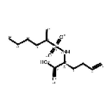 C=CCC[C@H](NS(=O)(=O)C(C)CCCC)C(=O)O